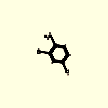 [SiH3]c1ccc(Cl)cc1Cl